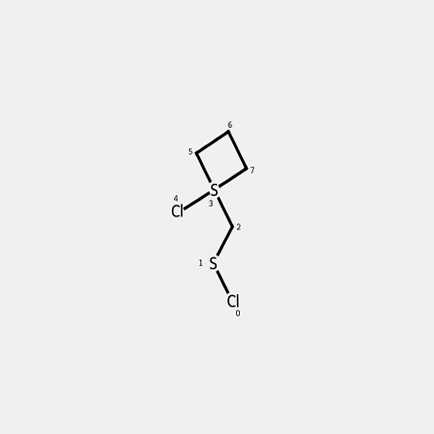 ClSCS1(Cl)CCC1